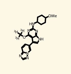 [2H]C([2H])([2H])Oc1nc(NC2CCC(OC)CC2)nc2[nH]cc(-c3ccc4ncnn4c3)c12